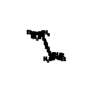 CCN(CC)CCO[Si](C)(C)CCCSSSSCCC[Si](C)(C)OCCN(CC)CC